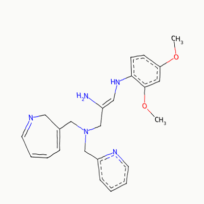 COc1ccc(N/C=C(\N)CN(CC2=CC=CC=NC2)Cc2ccccn2)c(OC)c1